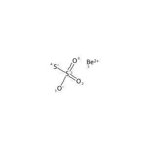 O=S(=O)([O-])[S-].[Be+2]